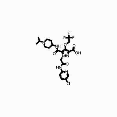 CC(C)N1CCC(NC(=O)c2c(OCC(F)(F)F)c(C(=O)O)nn2CC(=O)Nc2ccc(Cl)cn2)CC1